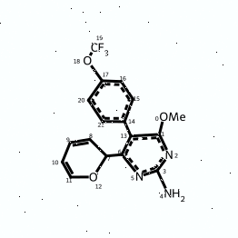 COc1nc(N)nc(C2C=CC=CO2)c1-c1ccc(OC(F)(F)F)cc1